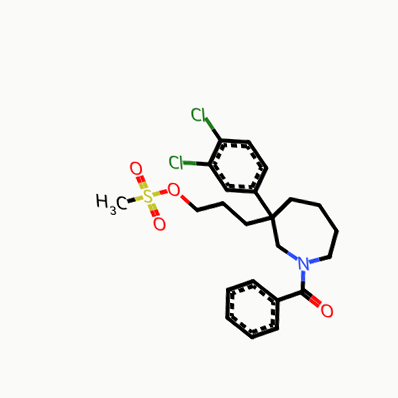 CS(=O)(=O)OCCCC1(c2ccc(Cl)c(Cl)c2)CCCCN(C(=O)c2ccccc2)C1